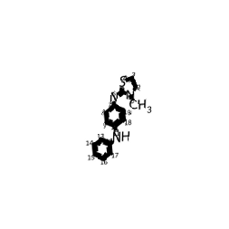 CN1CCSC1=Nc1ccc(Nc2ccccc2)cc1